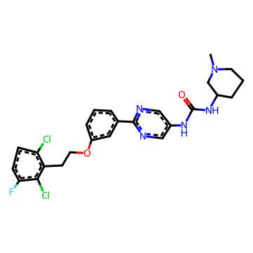 CN1CCCC(NC(=O)Nc2cnc(-c3cccc(OCCc4c(Cl)ccc(F)c4Cl)c3)nc2)C1